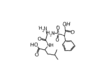 CC(C)CC(NC(=O)CN)C(=O)O.NS(=O)(=O)C(C(=O)O)c1ccccc1